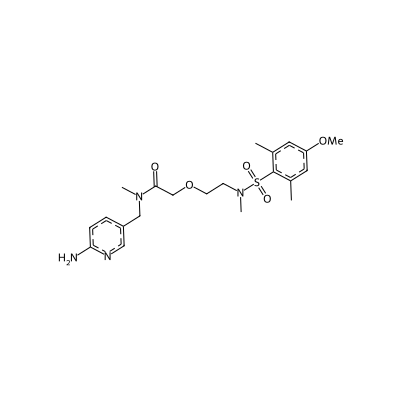 COc1cc(C)c(S(=O)(=O)N(C)CCOCC(=O)N(C)Cc2ccc(N)nc2)c(C)c1